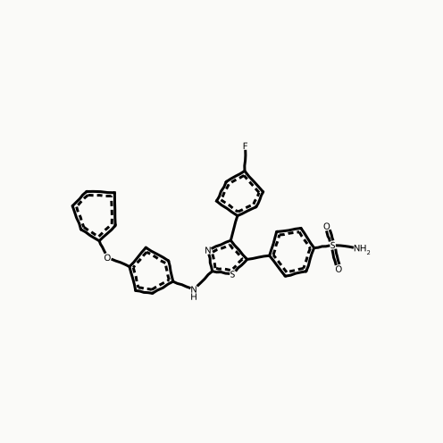 NS(=O)(=O)c1ccc(-c2sc(Nc3ccc(Oc4ccccc4)cc3)nc2-c2ccc(F)cc2)cc1